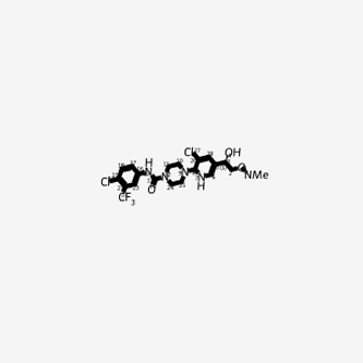 CNOC[C@@H](O)C1=CNC(N2CCN(C(=O)Nc3ccc(Cl)c(C(F)(F)F)c3)CC2)C(Cl)=C1